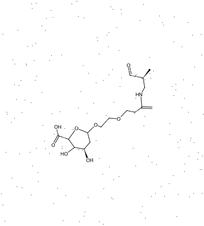 C=C(CCOCCOC1C[C@@H](O)C(O)C(C(=O)O)O1)NC[C@H](C)C=O